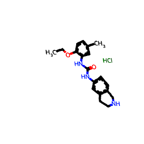 CCOc1ccc(C)cc1NC(=O)Nc1ccc2c(c1)CCNC2.Cl